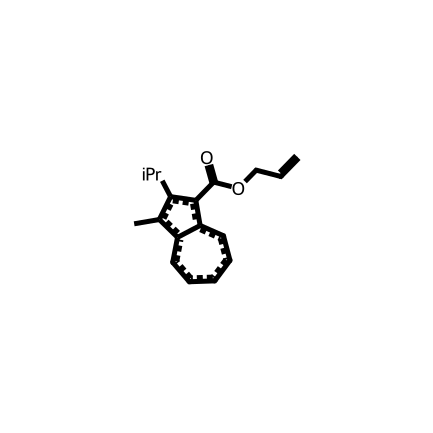 C=CCOC(=O)c1c2cccccc-2c(C)c1C(C)C